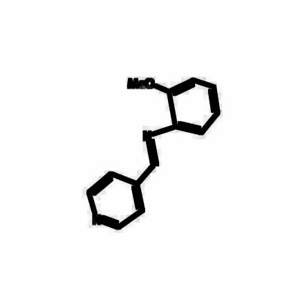 COc1ccccc1N=Cc1ccncc1